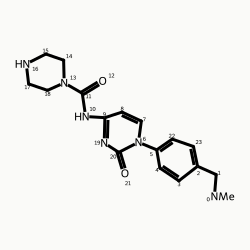 CNCc1ccc(-n2ccc(NC(=O)N3CCNCC3)nc2=O)cc1